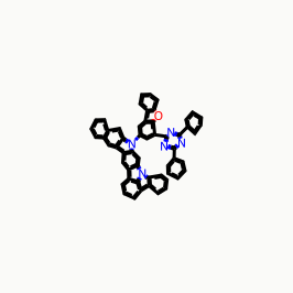 c1ccc(-c2nc(-c3ccccc3)nc(-c3cc(-n4c5cc6ccccc6cc5c5cc6c7cccc8c9ccccc9n(c6cc54)c87)cc4c3oc3ccccc34)n2)cc1